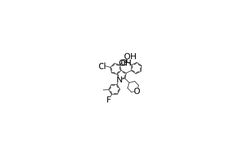 Cc1cc(-n2c(C3CCOCC3)c(-c3ccccc3C(=O)O)c3c(O)cc(Cl)cc32)ccc1F